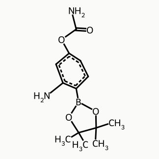 CC1(C)OB(c2ccc(OC(N)=O)cc2N)OC1(C)C